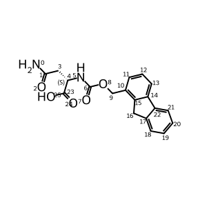 NC(=O)C[C@H](NC(=O)OCc1cccc2c1Cc1ccccc1-2)C(=O)O